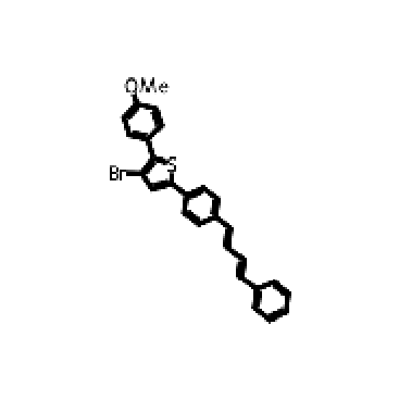 COc1ccc(-c2sc(-c3ccc(/C=C/C=C/c4ccccc4)cc3)cc2Br)cc1